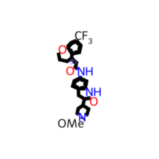 CON1CCC(C2Cc3ccc(NC(=O)/C=C4\CCCOc5cc(C(F)(F)F)ccc54)cc3NC2=O)CC1